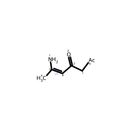 CC(=O)CC(=O)/C=C(/C)N